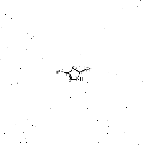 CC(C)C1=CNC(C(C)C)S1